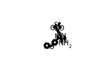 C=C1SC(=O)N(CCn2nc(-c3ccc(Oc4ccccc4)cc3)c3c(N)ncnc32)C1=O